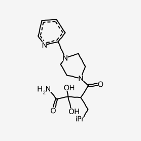 CC(C)CC(C(=O)N1CCN(c2ccccn2)CC1)C(O)(O)C(N)=O